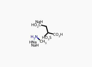 CN.O=C(O)CC(C(=O)O)S(=O)(=O)O.[NaH].[NaH].[NaH]